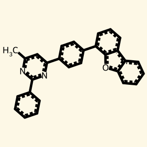 Cc1cc(-c2ccc(-c3cccc4c3oc3ccccc34)cc2)nc(-c2ccccc2)n1